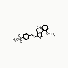 CCn1c(SCc2ccc(S(C)(=O)=O)cc2)nnc1-c1ccccc1OC